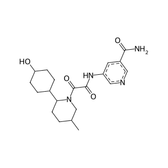 CC1CCC(C2CCC(O)CC2)N(C(=O)C(=O)Nc2cncc(C(N)=O)c2)C1